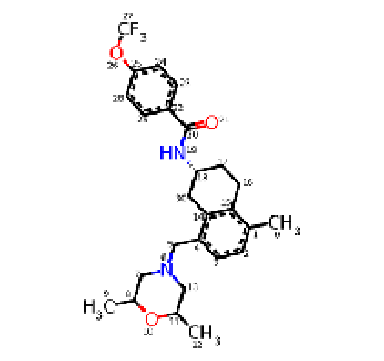 Cc1ccc(CN2CC(C)OC(C)C2)c2c1CC[C@@H](NC(=O)c1ccc(OC(F)(F)F)cc1)C2